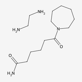 NC(=O)CCCCC(=O)N1CCCCCC1.NCCN